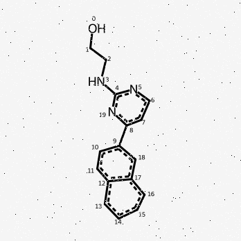 OCCNc1nccc(-c2ccc3ccccc3c2)n1